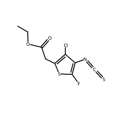 CCOC(=O)Cc1sc(F)c(N=C=S)c1Cl